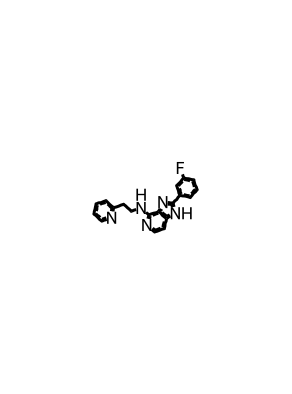 Fc1cccc(-c2nc3c(NCCc4ccccn4)nccc3[nH]2)c1